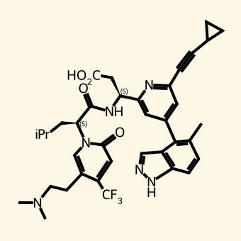 Cc1ccc2[nH]ncc2c1-c1cc(C#CC2CC2)nc([C@H](CC(=O)O)NC(=O)[C@H](CC(C)C)n2cc(CCN(C)C)c(C(F)(F)F)cc2=O)c1